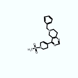 CS(=O)(=O)N1CC=C(c2ncnc3c2CN(Cc2ccccc2)CC3)CC1